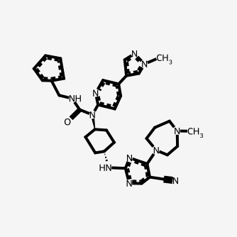 CN1CCCN(c2nc(N[C@H]3CC[C@H](N(C(=O)NCc4ccccc4)c4ccc(-c5cnn(C)c5)cn4)CC3)ncc2C#N)CC1